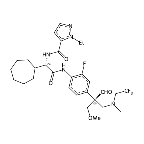 CCn1nccc1C(=O)N[C@H](C(=O)Nc1ccc([C@@](C=O)(COC)CN(C)CC(F)(F)F)cc1F)C1CCCCCC1